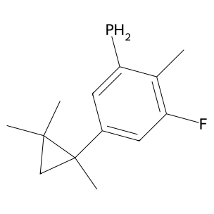 Cc1c(F)cc(C2(C)CC2(C)C)cc1P